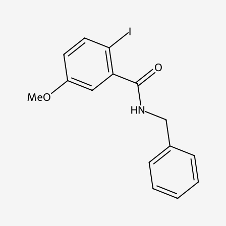 COc1ccc(I)c(C(=O)NCc2ccccc2)c1